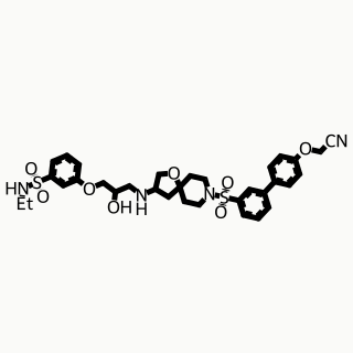 CCNS(=O)(=O)c1cccc(OCC(O)CNC2COC3(CCN(S(=O)(=O)c4cccc(-c5ccc(OCC#N)cc5)c4)CC3)C2)c1